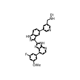 CCNCc1cncc(-c2ccc3[nH]nc(-c4nc5c(-c6cc(F)cc(OC)c6)ccnc5[nH]4)c3c2)c1